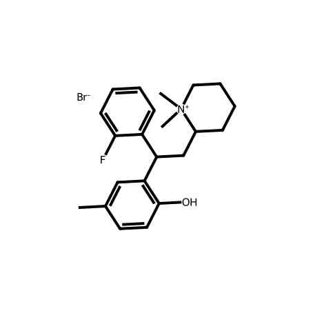 Cc1ccc(O)c(C(CC2CCCC[N+]2(C)C)c2ccccc2F)c1.[Br-]